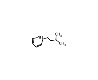 CN(C)CCC1C=CC=CN1